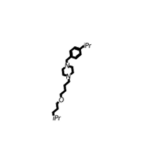 CC(C)CCCOCCCCN1CCN(Cc2ccc(C(C)C)cc2)CC1